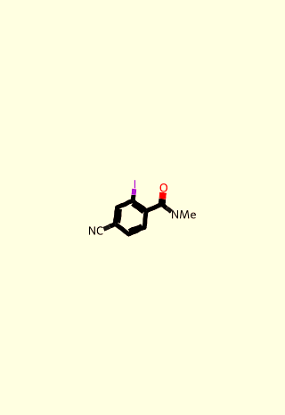 CNC(=O)c1ccc(C#N)cc1I